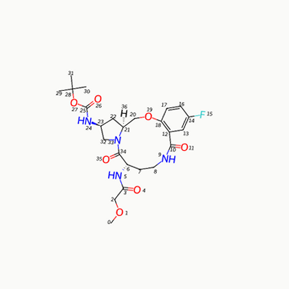 COCC(=O)N[C@H]1CCNC(=O)c2cc(F)ccc2OC[C@@H]2C[C@H](NC(=O)OC(C)(C)C)CN2C1=O